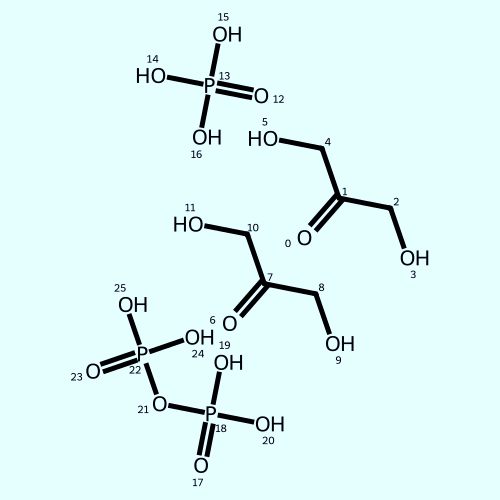 O=C(CO)CO.O=C(CO)CO.O=P(O)(O)O.O=P(O)(O)OP(=O)(O)O